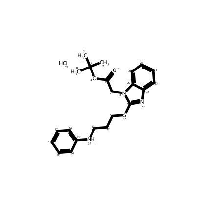 CC(C)(C)OC(=O)Cn1c(SCCCNc2ccccc2)nc2ccccc21.Cl